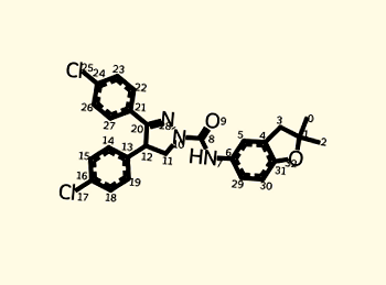 CC1(C)Cc2cc(NC(=O)N3CC(c4ccc(Cl)cc4)C(c4ccc(Cl)cc4)=N3)ccc2O1